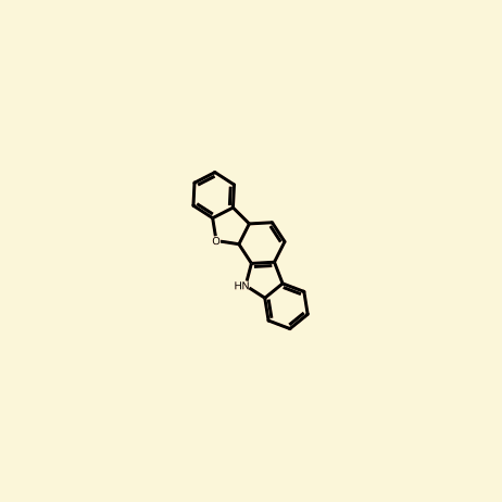 C1=CC2c3ccccc3OC2c2[nH]c3ccccc3c21